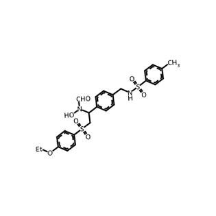 CCOc1ccc(S(=O)(=O)CC(c2ccc(CNS(=O)(=O)c3ccc(C)cc3)cc2)N(O)C=O)cc1